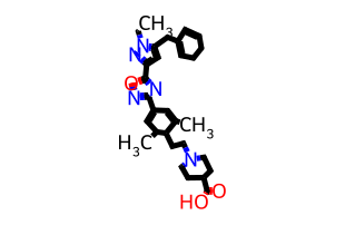 CCn1nc(-c2nc(C3=CC(C)C(CCN4CCC(C(=O)O)CC4)C(C)=C3)no2)cc1CC1=CCCC=C1